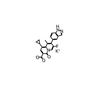 Cc1c(-c2ccc3[nH]ncc3c2)c(F)cn2c(=O)c(C(=O)[O-])cc(C3CC3)c12.[K+]